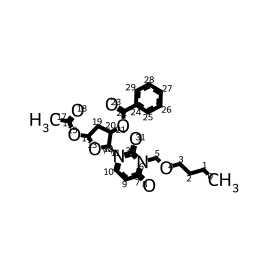 CCCCOCn1c(=O)ccn([C@@H]2OC(OC(C)=O)CC2OC(=O)c2ccccc2)c1=O